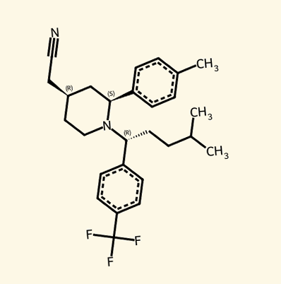 Cc1ccc([C@@H]2C[C@H](CC#N)CCN2[C@H](CCC(C)C)c2ccc(C(F)(F)F)cc2)cc1